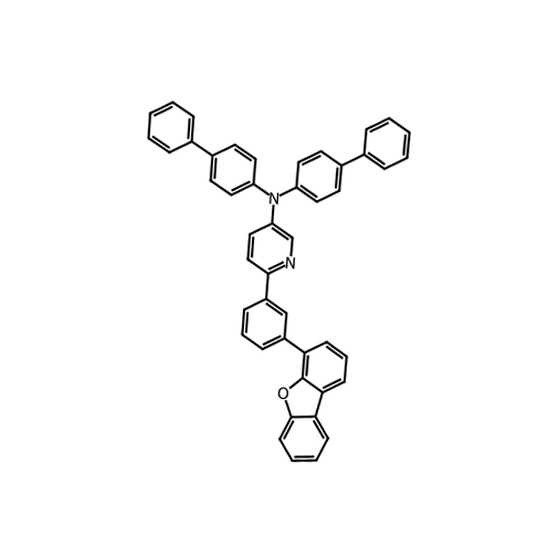 c1ccc(-c2ccc(N(c3ccc(-c4ccccc4)cc3)c3ccc(-c4cccc(-c5cccc6c5oc5ccccc56)c4)nc3)cc2)cc1